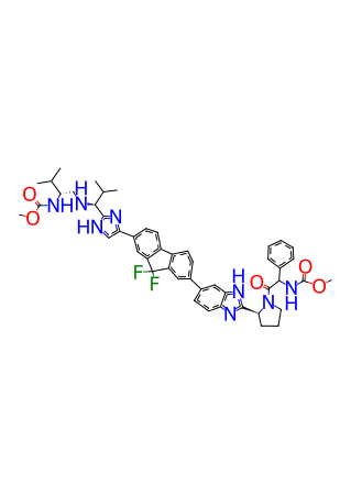 COC(=O)NC(C(=O)N1CCC[C@H]1c1nc2ccc(-c3ccc4c(c3)C(F)(F)c3cc(-c5c[nH]c([C@@H](NC[C@H](NC(=O)OC)C(C)C)C(C)C)n5)ccc3-4)cc2[nH]1)c1ccccc1